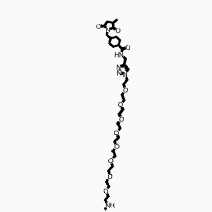 CNCCOCCOCCOCCOCCOCCOCCOCCOCCn1cc(CNC(=O)C2CCC(CN3C(=O)CC(C)C3=O)CC2)nn1